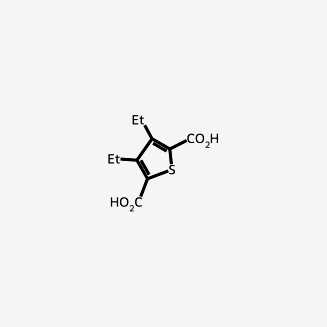 CCc1c(C(=O)O)sc(C(=O)O)c1CC